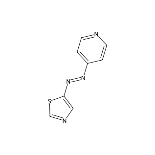 c1cc(N=Nc2cncs2)ccn1